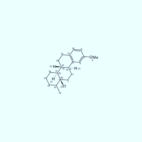 CC[C@]12CC[C@@H]3c4cc(OC)[c]cc4CC[C@H]3[C@@H]1CCCC2C